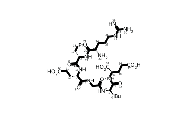 CC[C@H](C)[C@H](NC(=O)CNC(=O)[C@H](CCC(=O)O)NC(=O)[C@H](CC(C)C)NC(=O)[C@@H](N)CCCNC(=N)N)C(=O)N[C@@H](CCC(=O)O)C(=O)O